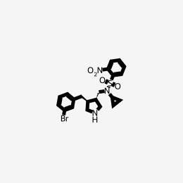 O=[N+]([O-])c1ccccc1S(=O)(=O)N(C[C@@H]1CNC[C@H]1Cc1cccc(Br)c1)C1CC1